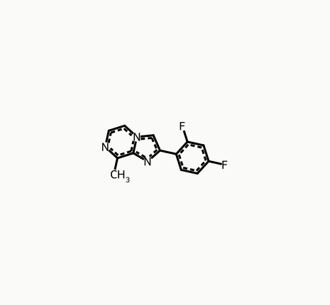 Cc1nccn2cc(-c3ccc(F)cc3F)nc12